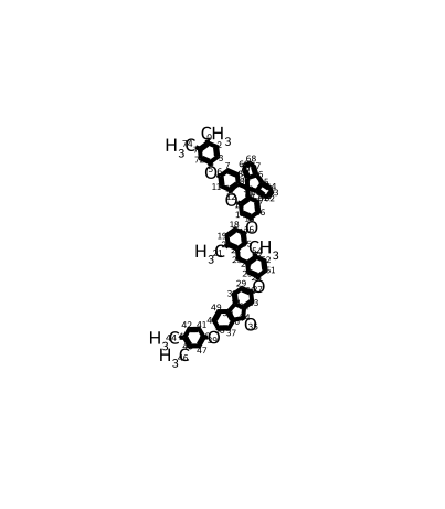 Cc1ccc(Oc2ccc3c(c2)Oc2cc(Oc4ccc(C)c(Cc5cc(Oc6ccc7c(c6)C(=O)c6cc(Oc8ccc(C)c(C)c8)ccc6-7)ccc5C)c4)ccc2C32c3ccccc3-c3ccccc32)cc1C